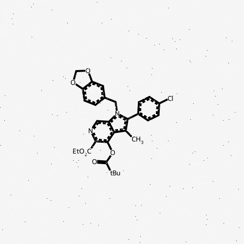 CCOC(=O)c1ncc2c(c(C)c(-c3ccc(Cl)cc3)n2Cc2ccc3c(c2)OCO3)c1OC(=O)C(C)(C)C